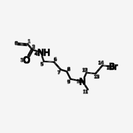 C=CC(=O)NCCCCCN(C)CCCBr